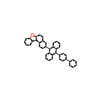 c1ccc(-c2ccc(-c3c4ccccc4c(-c4ccc5c(ccc6oc7ccccc7c65)c4)c4ccccc34)cc2)cc1